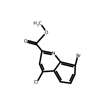 COC(=O)c1cc(Cl)c2cccc(Br)c2n1